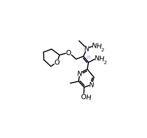 Cc1nc(/C(N)=C(\COC2CCCCO2)N(C)N)cnc1O